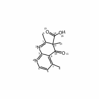 CC1=Nc2nccc(C)c2C(=O)C1(C)C(=O)O